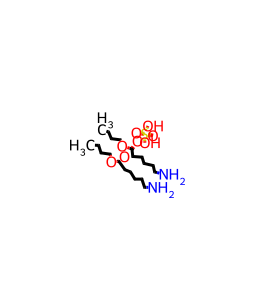 CCCCOC(=O)CCCCCN.CCCCOC(=O)CCCCCN.O=S(=O)(O)O